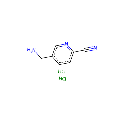 Cl.Cl.N#Cc1ccc(CN)cn1